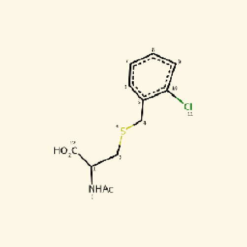 CC(=O)NC(CSCc1ccccc1Cl)C(=O)O